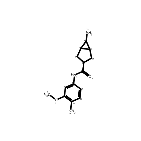 COc1cc(NC(=O)C2CC3C(N)C3C2)ccc1C